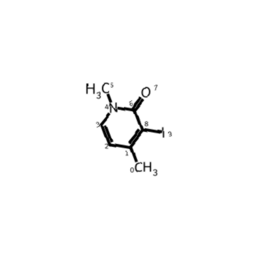 Cc1ccn(C)c(=O)c1I